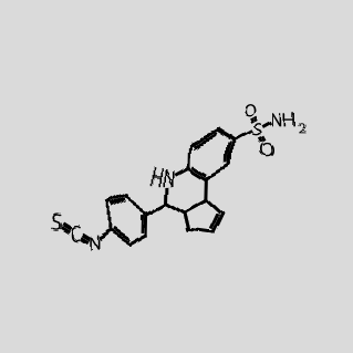 NS(=O)(=O)c1ccc2c(c1)C1C=CCC1C(c1ccc(N=C=S)cc1)N2